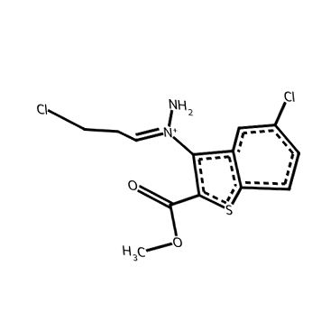 COC(=O)c1sc2ccc(Cl)cc2c1[N+](N)=CCCCl